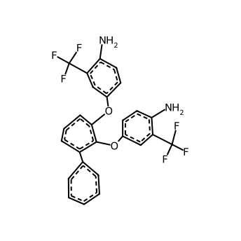 Nc1ccc(Oc2cccc(-c3ccccc3)c2Oc2ccc(N)c(C(F)(F)F)c2)cc1C(F)(F)F